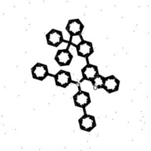 c1ccc(-c2ccc(N(c3ccc(-c4ccccc4)cc3)c3cc(-c4ccc5c(c4)C(c4ccccc4)(c4ccccc4)c4ccccc4-5)cc4c3oc3ccccc34)cc2)cc1